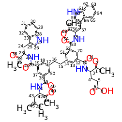 CC(=O)C(CCC(=O)O)NC(=O)c1cc(CCc2cc(C(=O)NC(Cc3c[nH]c4ccccc34)C(C)=O)cc(C(=O)NC(CC(C)C)C(C)=O)c2)cc(C(=O)NC(Cc2c[nH]c3ccccc23)C(C)=O)c1